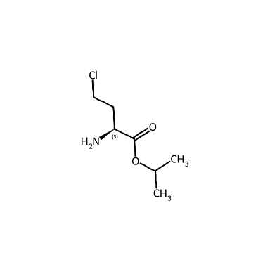 CC(C)OC(=O)[C@@H](N)CCCl